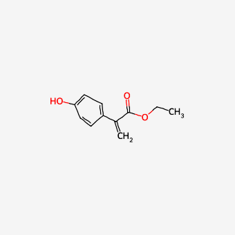 C=C(C(=O)OCC)c1ccc(O)cc1